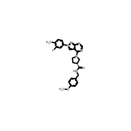 CSc1ccc(CNC(=O)[C@H]2CCN(c3ncnc4nn(-c5ccc(C)c(F)c5)cc34)C2)cc1